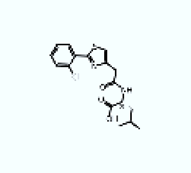 CC(C)C[C@@H](NC(=O)Cc1csc(-c2ccccc2Cl)n1)C(=O)O